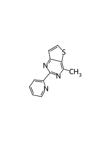 Cc1nc(-c2ccccn2)nc2ccsc12